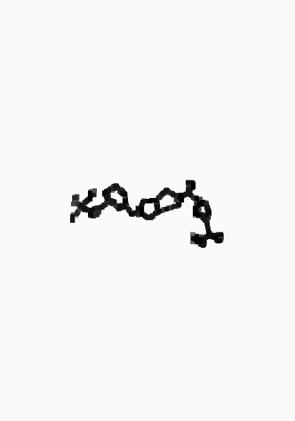 O=C(O)c1ccn(C(=O)N2CC3CN(Cc4cccc(OC(F)(F)F)c4)CC3C2)n1